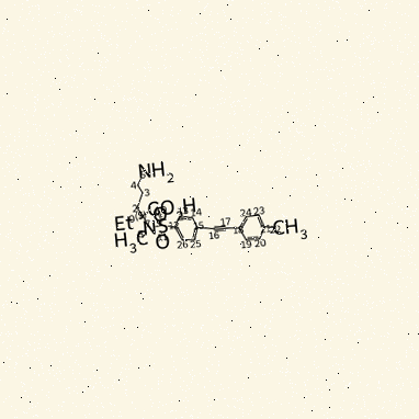 CC[C@](CCCN)(C(=O)O)N(C)S(=O)(=O)c1ccc(C#Cc2ccc(C)cc2)cc1